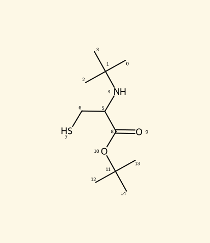 CC(C)(C)NC(CS)C(=O)OC(C)(C)C